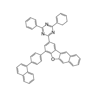 C1=CCCC(c2nc(-c3ccccc3)nc(-c3cc(-c4ccc(-c5cccc6ccccc56)cc4)c4oc5cc6ccccc6cc5c4c3)n2)=C1